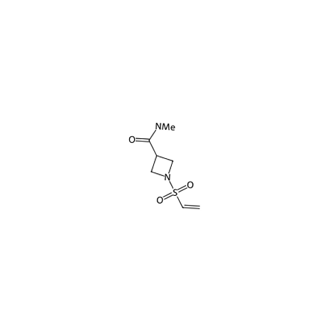 C=CS(=O)(=O)N1CC(C(=O)NC)C1